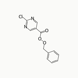 O=C(OOCc1ccccc1)c1cnc(Cl)nc1